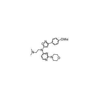 COc1ccc(-c2cc(N(CCN(C)C)c3ccnc(N4CCOCC4)n3)on2)cc1